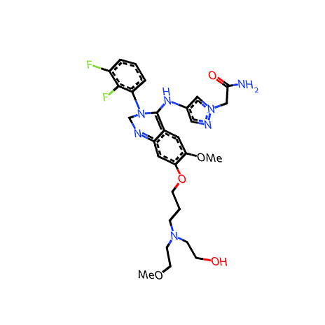 COCCN(CCO)CCCOc1cc2c(cc1OC)=C(Nc1cnn(CC(N)=O)c1)N(c1cccc(F)c1F)CN=2